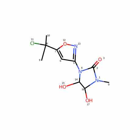 CN1C(=O)N(c2cc(C(C)(C)Cl)on2)C(O)C1O